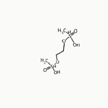 C[SH](=O)(O)OCCO[SH](C)(=O)O